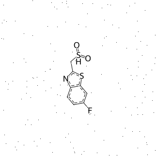 O=[SH](=O)Cc1nc2ccc(F)cc2s1